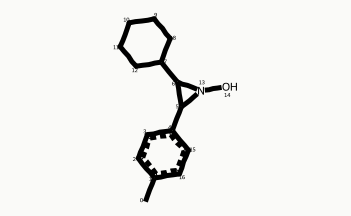 Cc1ccc(C2C(C3CCCCC3)N2O)cc1